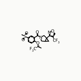 C[C@H](Oc1ccc(S(C)(=O)=O)cc1C(=O)N1CC2CC2(c2nocc2C(F)(F)F)C1)C(F)(F)F